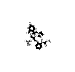 CC(=O)Nc1ccccc1OCC1COC(Cn2ccnc2)(c2ccc(Cl)cc2Cl)O1.O=[N+]([O-])O